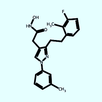 Cc1cccc(-n2cc(CC(=O)NO)c(CCc3cccc(F)c3C)n2)c1